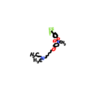 C=CCN(C)CCCCCCOC1CCC(N(C)C(=O)Oc2ccc(C(F)(F)F)cc2)CC1